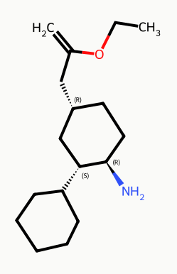 C=C(C[C@@H]1CC[C@@H](N)[C@H](C2CCCCC2)C1)OCC